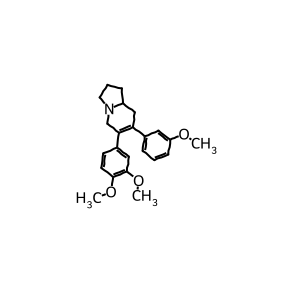 COc1cccc(C2=C(c3ccc(OC)c(OC)c3)CN3CCCC3C2)c1